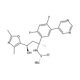 Cc1nc(C)c([C@H](O)C[C@](C)(N[S@+]([O-])C(C)(C)C)c2cc(-c3cncnc3)c(F)cc2F)o1